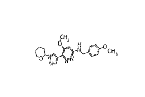 COc1ccc(CNc2cc(OC)c(-c3cnn(C4CCCCO4)c3)nn2)cc1